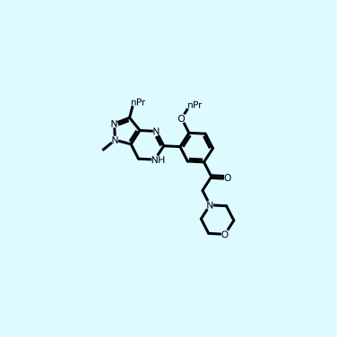 CCCOc1ccc(C(=O)CN2CCOCC2)cc1C1=Nc2c(CCC)nn(C)c2CN1